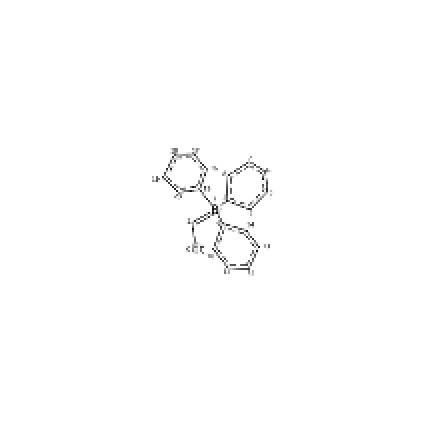 CC[CH]=[Bi]([c]1ccccc1)([c]1ccccc1)[c]1ccccc1